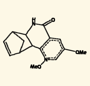 COc1cc2c([n+](OC)c1)C1C3C=CC(C3)C1NC2=O